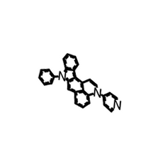 C1=CN(c2ccncc2)c2cccc3cc4c(c1c23)c1ccccc1n4-c1ccccc1